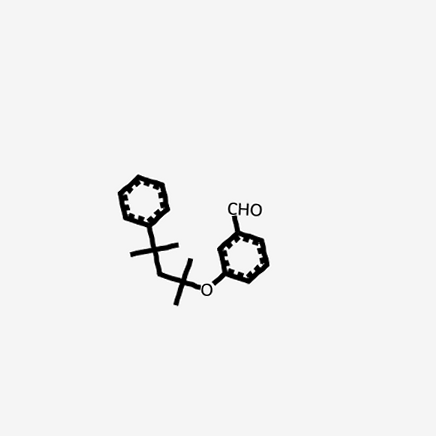 CC(C)(CC(C)(C)c1ccccc1)Oc1cccc(C=O)c1